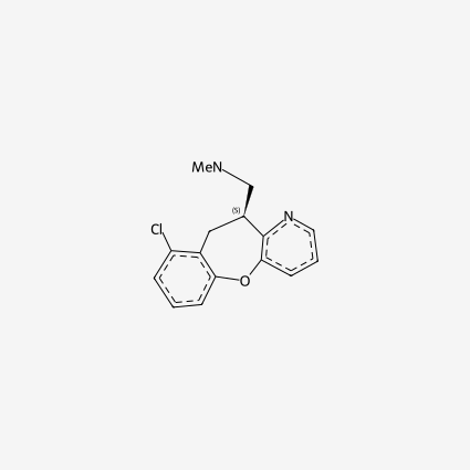 CNC[C@@H]1Cc2c(Cl)cccc2Oc2cccnc21